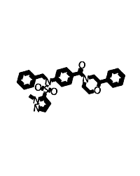 Cn1nccc1S(=O)(=O)N(Cc1ccccc1)c1ccc(C(=O)N2CCOC(c3ccccc3)C2)cc1